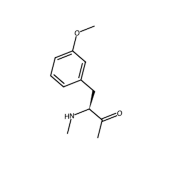 CN[C@@H](Cc1cccc(OC)c1)C(C)=O